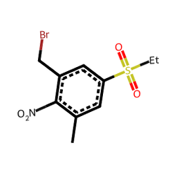 CCS(=O)(=O)c1cc(C)c([N+](=O)[O-])c(CBr)c1